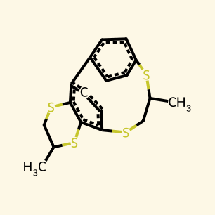 CC1CSc2ccc(c3c2SC(C)CS3)-c2ccc(cc2)S1